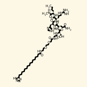 CCCC[C@H](NC(=O)[C@H](CCCNC(=N)N)NC(=O)[C@H](Cc1c[nH]cn1)NC(=O)[C@H](CCC(N)=O)NC(=O)[C@H](CO)NC(=O)CNC(=O)COCCOCCNC(=O)CCCCCCCCCCCCCCCc1nnn[nH]1)C(=O)NC